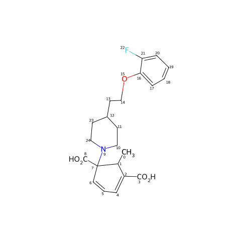 CC1C(C(=O)O)=CC=CC1(C(=O)O)N1CCC(CCOc2ccccc2F)CC1